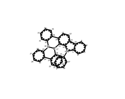 c1ccc(-n2c3ccccc3c3ccc4c(c32)B2c3ccccc3-c3ccccc3N2c2ccccc2-4)cc1